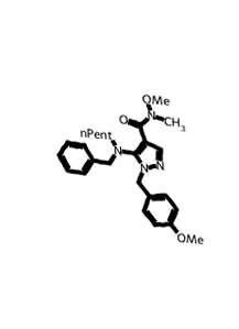 CCCCCN(Cc1ccccc1)c1c(C(=O)N(C)OC)cnn1Cc1ccc(OC)cc1